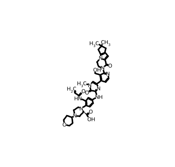 C=CC(=O)Nc1cc(Nc2nc(-c3ccnc(N4CCn5c(cc6c5CC(C)(C)C6)C4=O)c3CO)cn(C)c2=O)ccc1N1CCN(C2CCOCC2)C[C@@H]1C(=O)O